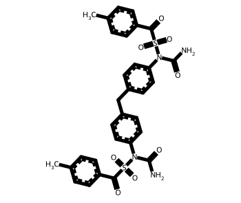 Cc1ccc(C(=O)S(=O)(=O)N(C(N)=O)c2ccc(Cc3ccc(N(C(N)=O)S(=O)(=O)C(=O)c4ccc(C)cc4)cc3)cc2)cc1